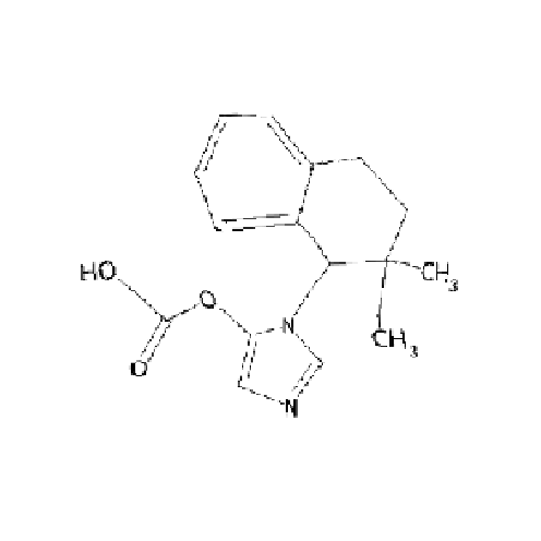 CC1(C)CCc2ccccc2C1n1cncc1OC(=O)O